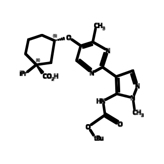 Cc1nc(-c2cnn(C)c2NC(=O)OC(C)(C)C)ncc1O[C@H]1CCC[C@@](C(=O)O)(C(C)C)C1